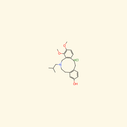 COc1ccc2c(c1OC)CN(CC(C)C)CCc1cc(O)ccc1CC2.Cl